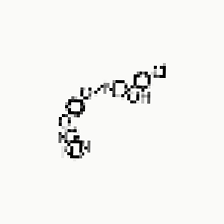 OC1(c2ccc(Cl)cc2)CCN(CCOc2ccc(Oc3nc4nccnc4s3)cc2)CC1